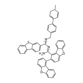 CC1C=CC(c2ccc(C/N=C(\N=C(/N)c3c(-c4cccc5oc6ccccc6c45)ccc4oc5ccccc5c34)c3ccc4c(c3)sc3ccccc34)cc2)=CC1